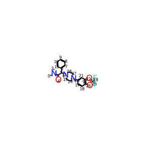 CN(C)C(=O)C(c1ccccc1)N1CCN(c2ccc3c(c2)OC(F)(F)O3)CC1